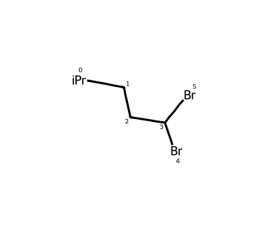 CC(C)CCC(Br)Br